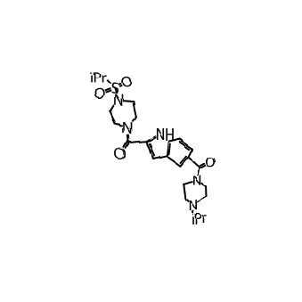 CC(C)N1CCN(C(=O)c2ccc3[nH]c(C(=O)N4CCN(S(=O)(=O)C(C)C)CC4)cc3c2)CC1